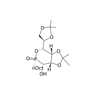 CCCCCCCC[P@]1(=O)O[C@H]([C@H]2COC(C)(C)O2)[C@@H]2OC(C)(C)O[C@@H]2[C@@H]1O